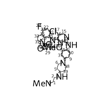 CNCCNC1CCN(c2ccc(Nc3ncc(Cl)c(Nc4ccc(F)c5c4N(S(C)(=O)=O)CC5)n3)c(OC)c2)CC1